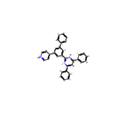 c1ccc(-c2cc(-c3ccncc3)cc(-c3nc(-c4ccccc4)cc(-c4ccccc4)n3)c2)cc1